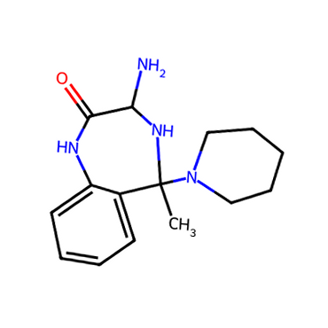 CC1(N2CCCCC2)NC(N)C(=O)Nc2ccccc21